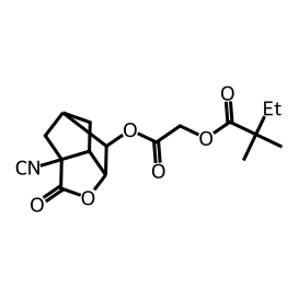 [C-]#[N+]C12CC3CC1C(OC2=O)C3OC(=O)COC(=O)C(C)(C)CC